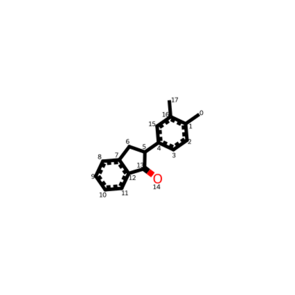 Cc1ccc(C2Cc3ccccc3C2=O)cc1C